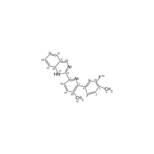 Cc1ccc(-c2nc(C3=NC=C4C=CC=CC4N3)ccc2C)cc1F